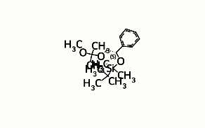 COC(C)(C)OC[C@@H](O[Si](C)(C)C(C)(C)C)c1ccccc1